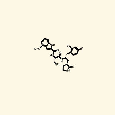 COc1cccc2[nH]c(C(=O)N[C@@H](CC(C)C)C(=O)N[C@H](Cc3ccc(F)cc3Cl)C[C@@H]3CCNC3=O)cc12